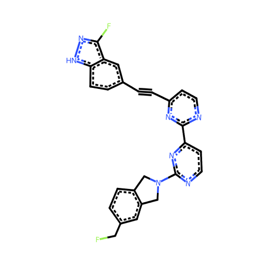 FCc1ccc2c(c1)CN(c1nccc(-c3nccc(C#Cc4ccc5[nH]nc(F)c5c4)n3)n1)C2